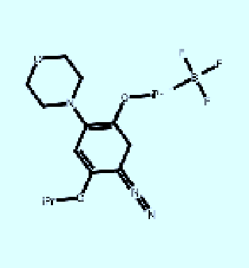 CC(C)OC1=CC(N2CCOCC2)=C(OC(C)C)CC1=[N+]=[N-].F[B-](F)(F)F